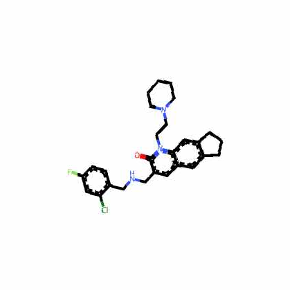 O=c1c(CNCc2ccc(F)cc2Cl)cc2cc3c(cc2n1CCN1CCCCC1)CCC3